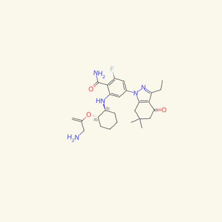 C=C(CN)O[C@H]1CCCC[C@@H]1Nc1cc(-n2nc(CC)c3c2CC(C)(C)CC3=O)cc(F)c1C(N)=O